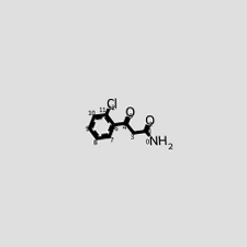 NC(=O)CC(=O)c1ccccc1Cl